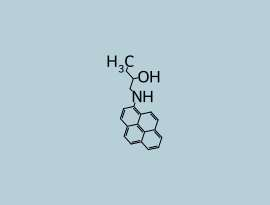 CCC(O)CNc1ccc2ccc3cccc4ccc1c2c34